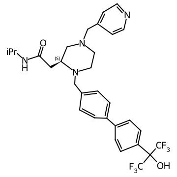 CC(C)NC(=O)C[C@H]1CN(Cc2ccncc2)CCN1Cc1ccc(-c2ccc(C(O)(C(F)(F)F)C(F)(F)F)cc2)cc1